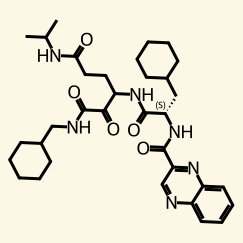 CC(C)NC(=O)CCC(NC(=O)[C@H](CC1CCCCC1)NC(=O)c1cnc2ccccc2n1)C(=O)C(=O)NCC1CCCCC1